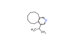 CC(C)c1cncc2c1CCCCCCC2